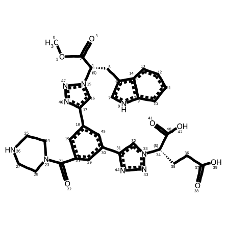 COC(=O)[C@H](Cc1c[nH]c2ccccc12)n1cc(-c2cc(C(=O)N3CCNCC3)cc(-c3cn([C@@H](CCC(=O)O)C(=O)O)nn3)c2)nn1